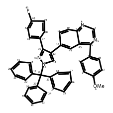 COc1ccc(-c2ncnc3ccc(-c4cn(C(c5ccccc5)(c5ccccc5)c5ccccc5)nc4-c4ccc(F)cc4)cc23)cc1